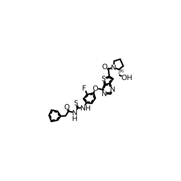 O=C(Cc1ccccc1)NC(=S)Nc1ccc(Oc2ncnc3cc(C(=O)N4CCC[C@@H]4CO)sc23)c(F)c1